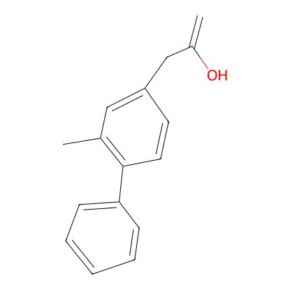 C=C(O)Cc1ccc(-c2ccccc2)c(C)c1